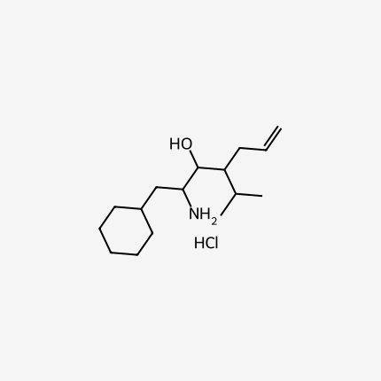 C=CCC(C(C)C)C(O)C(N)CC1CCCCC1.Cl